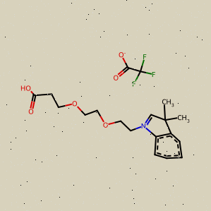 CC1(C)C=[N+](CCOCCOCCC(=O)O)c2ccccc21.O=C([O-])C(F)(F)F